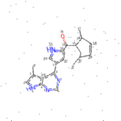 Cc1c[nH]c2ncnc(-c3c[nH]c(C(=O)C4C(C)C=CC4C)c3)c12